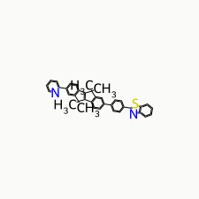 CC1(C)C2=C(c3ccc(-c4ccc(-c5nc6ccccc6s5)cc4)cc31)C(C)(C)c1cc(-c3ccccn3)ccc12